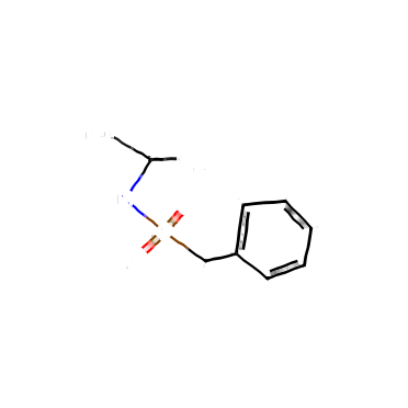 CCCCC(NS(=O)(=O)Cc1ccccc1)C(=O)O